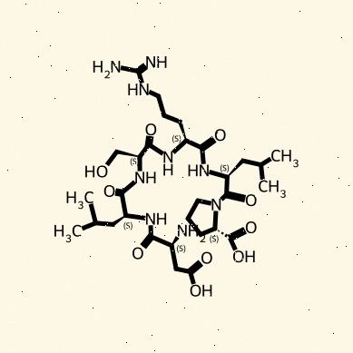 CC(C)C[C@H](NC(=O)[C@@H](N)CC(=O)O)C(=O)N[C@@H](CO)C(=O)N[C@@H](CCCNC(=N)N)C(=O)N[C@@H](CC(C)C)C(=O)N1CCC[C@H]1C(=O)O